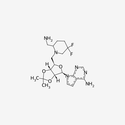 CC1(C)O[C@@H]2[C@H](O1)[C@@H](CN1CC(F)(F)CCC1CN)O[C@H]2n1ccc2c(N)ncnc21